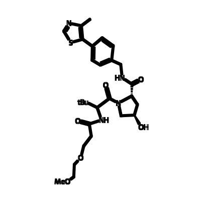 COCCOCCC(=O)NC(C(=O)N1C[C@H](O)C[C@H]1C(=O)NCc1ccc(-c2scnc2C)cc1)C(C)(C)C